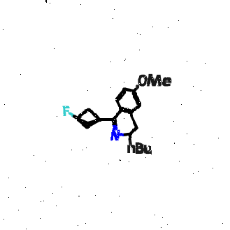 CCCCC1Cc2cc(OC)ccc2C(C23CC(F)(C2)C3)=N1